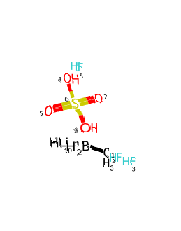 BC.F.F.F.O=S(=O)(O)O.[LiH]